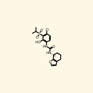 CC(C)S(=O)(=O)c1c(Cl)ccc(NC(=O)N[C@@H]2CCCc3ccoc32)c1O